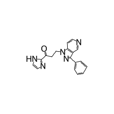 O=C(CCn1nc(-c2ccccc2)c2cnccc21)c1ncc[nH]1